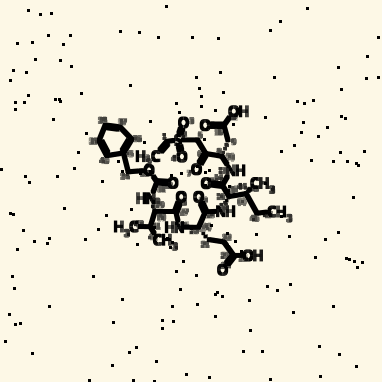 C=CS(=O)(=O)CC(=O)[C@H](CC(=O)O)NC(=O)[C@@H](NC(=O)[C@H](CCC(=O)O)NC(=O)[C@@H](NC(=O)OCc1ccccc1)C(C)C)[C@@H](C)CC